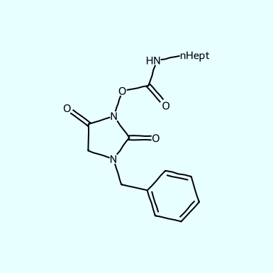 CCCCCCCNC(=O)ON1C(=O)CN(Cc2ccccc2)C1=O